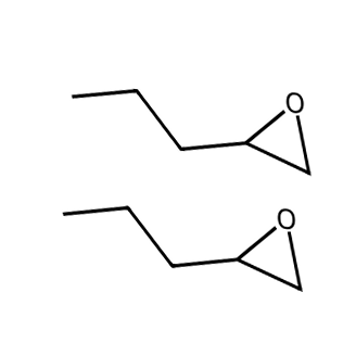 CCCC1CO1.CCCC1CO1